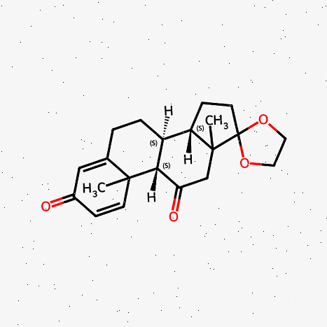 CC12C=CC(=O)C=C1CC[C@@H]1[C@@H]2C(=O)CC2(C)[C@H]1CCC21OCCO1